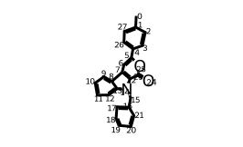 Cc1ccc(-c2cc3c4ccccc4n(Cc4ccccc4)c3c(=O)o2)cc1